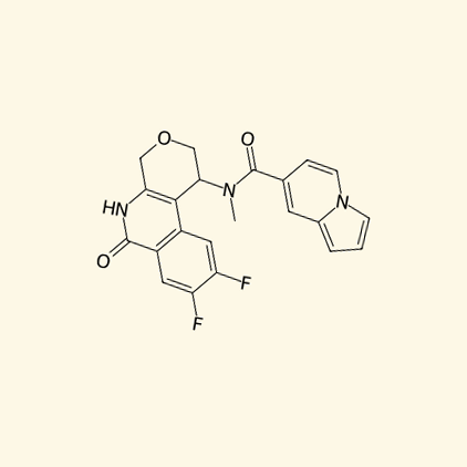 CN(C(=O)c1ccn2cccc2c1)C1COCc2[nH]c(=O)c3cc(F)c(F)cc3c21